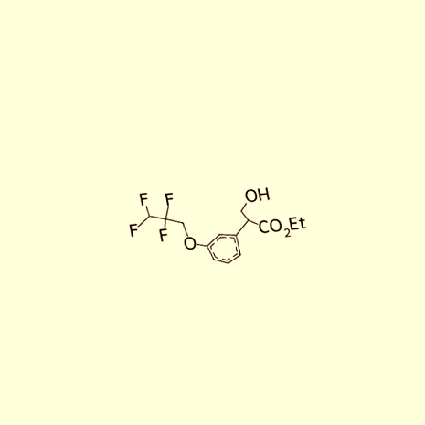 CCOC(=O)C(CO)c1cccc(OCC(F)(F)C(F)F)c1